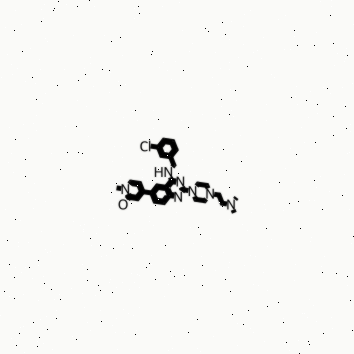 CN(C)CCN1CCN(c2nc(NCc3cccc(Cl)c3)c3cc(-c4ccn(C)c(=O)c4)ccc3n2)CC1